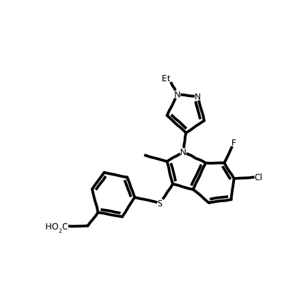 CCn1cc(-n2c(C)c(Sc3cccc(CC(=O)O)c3)c3ccc(Cl)c(F)c32)cn1